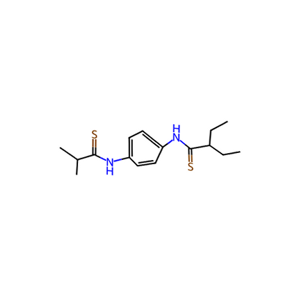 CCC(CC)C(=S)Nc1ccc(NC(=S)C(C)C)cc1